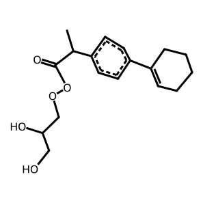 CC(C(=O)OOCC(O)CO)c1ccc(C2=CCCCC2)cc1